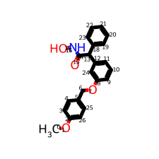 COc1ccc(COc2cccc(C(C(=O)NO)c3ccccc3)c2)cc1